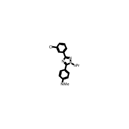 CCCn1nc(-c2cccc(Cl)c2)nc1-c1ccc(NC)cc1